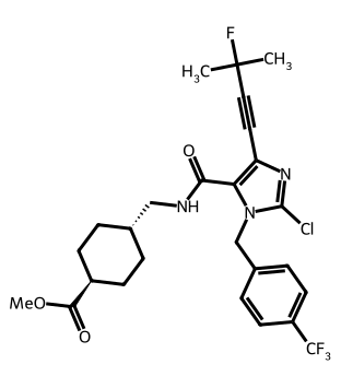 COC(=O)[C@H]1CC[C@H](CNC(=O)c2c(C#CC(C)(C)F)nc(Cl)n2Cc2ccc(C(F)(F)F)cc2)CC1